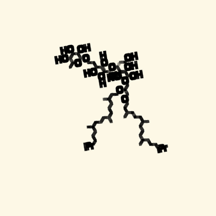 CC(C)CCCC(C)CCCC(C)CCCC(C)CCOCC(CO[C@H](O)/C(O)=C(\O)[C@@H](CCO)O[C@H](O)/C(O)=C(\O)[C@@H](O)CCO[C@@H]1OC(C)[C@H](O)C(O)[C@@H]1O)OCCC(C)CCCC(C)CCCC(C)CCCC(C)C